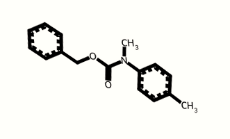 Cc1ccc(N(C)C(=O)OCc2ccccc2)cc1